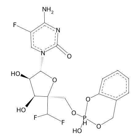 Nc1nc(=O)n([C@@H]2O[C@@](CO[PH]3(O)OCc4ccccc4O3)(C(F)F)[C@@H](O)[C@H]2O)cc1F